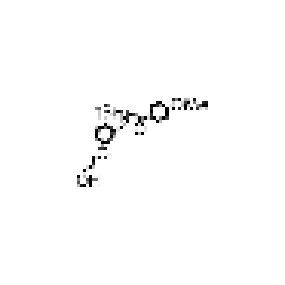 COc1ccc(C(=O)CN(Cc2cccc(OCCCO)c2)C(C)(C)C)cc1